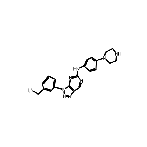 NCc1cccc(-n2nnc3cnc(Nc4ccc(N5CCNCC5)cc4)nc32)c1